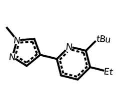 CCc1ccc(-c2cnn(C)c2)nc1C(C)(C)C